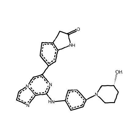 O=C1Cc2ccc(-c3cn4ccnc4c(Nc4ccc(N5CCC[C@@H](O)C5)cc4)n3)cc2N1